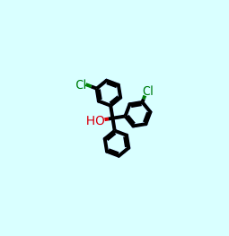 OC(c1ccccc1)(c1cccc(Cl)c1)c1cccc(Cl)c1